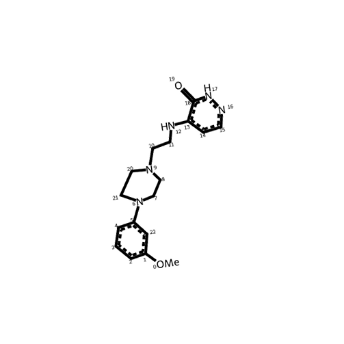 COc1cccc(N2CCN(CCNc3ccn[nH]c3=O)CC2)c1